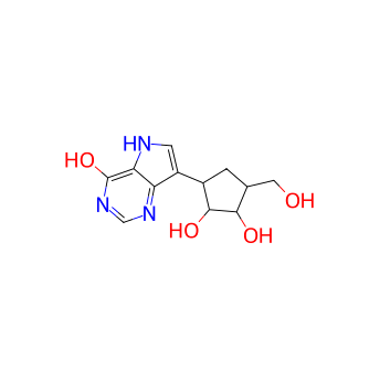 OCC1CC(c2c[nH]c3c(O)ncnc23)C(O)C1O